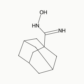 N=C(NO)C12CC3CC(CC(C3)C1)C2